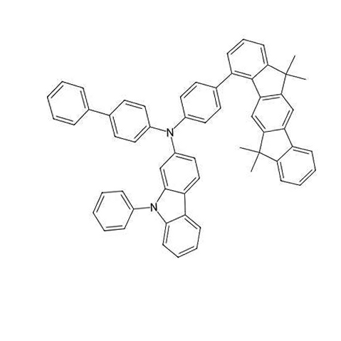 CC1(C)c2ccccc2-c2cc3c(cc21)-c1c(-c2ccc(N(c4ccc(-c5ccccc5)cc4)c4ccc5c6ccccc6n(-c6ccccc6)c5c4)cc2)cccc1C3(C)C